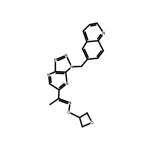 CC(=NOC1COC1)c1cnc2nnn(Cc3ccc4ncccc4c3)c2n1